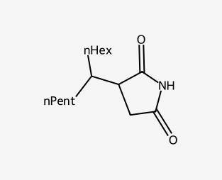 CCCCCCC(CCCCC)C1CC(=O)NC1=O